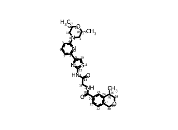 C[C@@H]1CN(c2cccc(-c3csc(NC(=O)CNC(=O)c4ccc5c(c4)[C@@H](C)COC5)n3)n2)C[C@H](C)O1